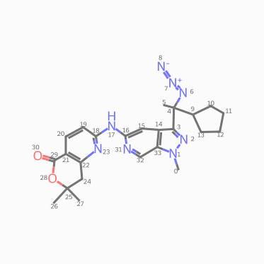 Cn1nc(C(C)(N=[N+]=[N-])C2CCCC2)c2cc(Nc3ccc4c(n3)CC(C)(C)OC4=O)ncc21